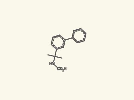 CC(C)(NC(=O)O)c1cccc(-c2ccccc2)c1